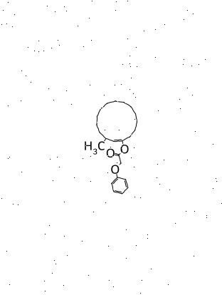 CC1C=C(OC(=O)COc2ccccc2)CCCCCCCCCCCC1